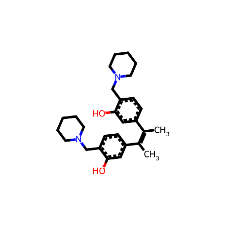 C/C(=C(\C)c1ccc(CN2CCCCC2)c(O)c1)c1ccc(CN2CCCCC2)c(O)c1